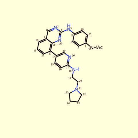 CC(=O)Nc1ccc(Nc2ncc3cccc(-c4ccc(NCCN5CCCC5)nc4)c3n2)cc1